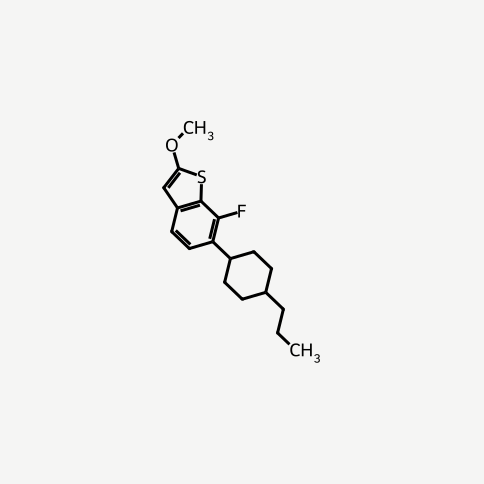 CCCC1CCC(c2ccc3cc(OC)sc3c2F)CC1